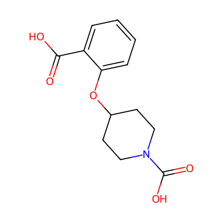 O=C(O)c1ccccc1OC1CCN(C(=O)O)CC1